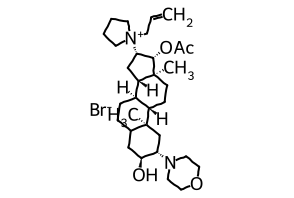 C=CC[N+]1([C@H]2C[C@H]3[C@@H]4CCC5C[C@H](O)[C@@H](N6CCOCC6)C[C@]5(C)[C@H]4CC[C@]3(C)[C@H]2OC(C)=O)CCCC1.[Br-]